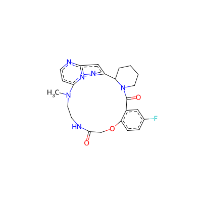 CN1CCNC(=O)COc2ccc(F)cc2C(=O)N2CCCCC2c2cc3nccc1n3n2